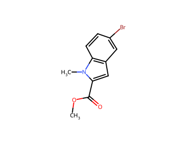 COC(=O)c1cc2cc(Br)ccc2n1C